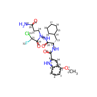 COc1cccc2[nH]c(C(=O)N[C@@H](CC3CCCCC3)C(=O)NN(CCC(N)=O)C(=O)[C@@H](F)Cl)cc12